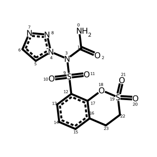 NC(=O)N(n1ccnn1)S(=O)(=O)c1cccc2c1OS(=O)(=O)CC2